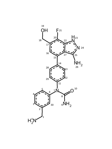 NCc1cccc(N(C(N)=O)c2ccc(-c3cc(CO)c(F)c4[nH]nc(N)c34)cc2)c1